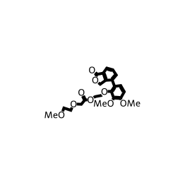 COCCOCC(=O)OCCOc1c(-c2cccc3c2COC3=O)ccc(OC)c1OC